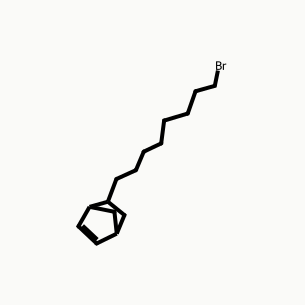 BrCCCCCCCCC1CC2C=CC1C2